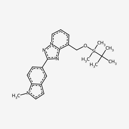 Cn1ccc2cc(-c3nc4c(CO[Si](C)(C)C(C)(C)C)cccn4n3)ccc21